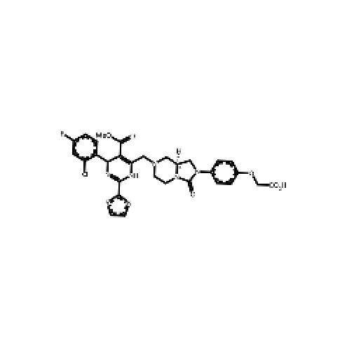 COC(=O)C1=C(CN2CCN3C(=O)N(c4ccc(OCC(=O)O)cc4)C[C@@H]3C2)NC(c2nccs2)=NC1c1ccc(F)cc1Cl